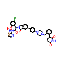 O=C1CCC(c2ccccc2CN2CCN(c3ccc(-c4ccc5c(c4)C(=O)N(C(C(=O)Nc4nccs4)c4cc(F)ccc4O)C5)cc3)CC2)C(=O)N1